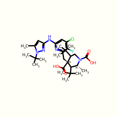 Cc1cc(Nc2cc(Cl)c(F)c(C[C@@]3(C(=O)O)C(C(C)(C)C)CN(C(=O)O)[C@H](C)C3C(C)(C)C)n2)nn1C(C)(C)C